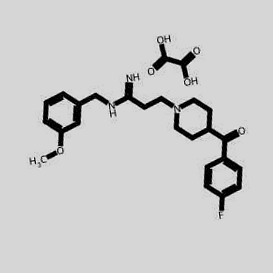 COc1cccc(CNC(=N)CCN2CCC(C(=O)c3ccc(F)cc3)CC2)c1.O=C(O)C(=O)O